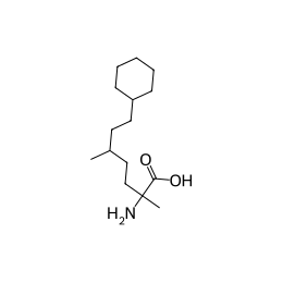 CC(CCC1CCCCC1)CCC(C)(N)C(=O)O